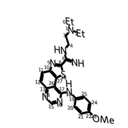 CCN(CC)CCNC(=N)c1nc2ccc3ncnc(Nc4ccc(OC)cc4)c3c2s1